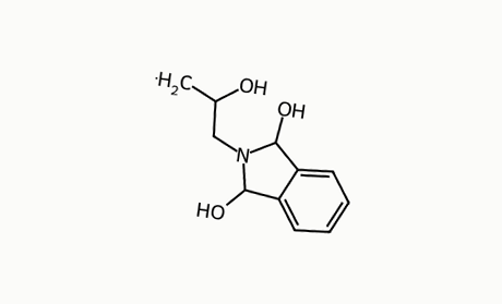 [CH2]C(O)CN1C(O)c2ccccc2C1O